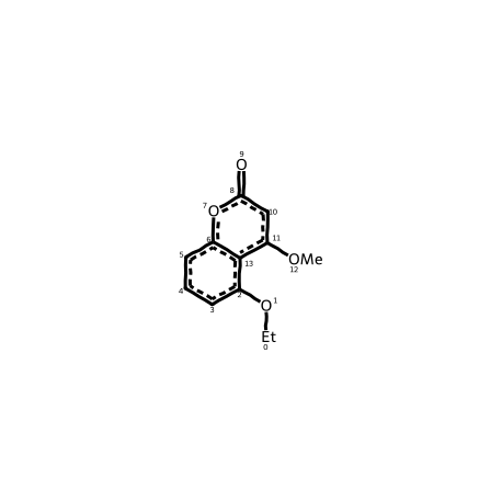 CCOc1cccc2oc(=O)cc(OC)c12